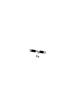 [Fe].[O]=[Hg]=[S]